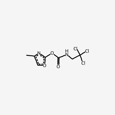 Cc1coc(OC(=O)NCC(Cl)(Cl)Cl)n1